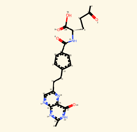 CC(=O)CC[C@H](NC(=O)c1ccc(CCc2cnc3nc(C)[nH]c(=O)c3n2)cc1)C(=O)O